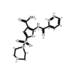 NC(=O)c1cc(S(=O)(=O)N2CCOCC2)sc1NC(=O)c1cccnn1